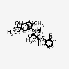 CCC1(C(=O)O)CC2CC(C)[C@@H](NC(=O)C(C)(C)NSc3ccccc3F)C(C2)C1